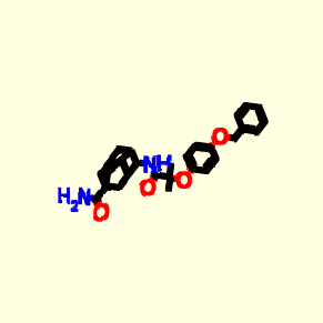 CC(C)(Oc1ccc(OCc2ccccc2)cc1)C(=O)NC1C2CC3CC1CC(C(N)=O)(C3)C2